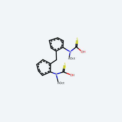 CCCCCCCCN(C(O)=S)c1ccccc1Cc1ccccc1N(CCCCCCCC)C(O)=S